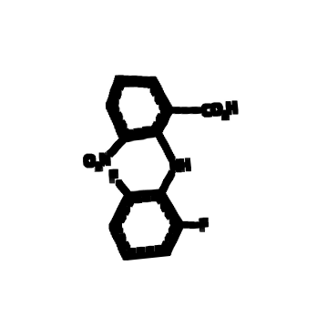 O=C(O)c1cccc([N+](=O)[O-])c1Nc1c(F)cccc1F